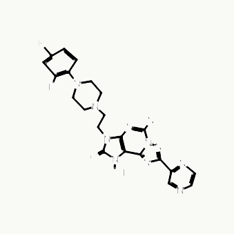 Cn1c(=O)n(CCN2CCN(c3ccc(F)cc3F)CC2)c2nc(N)n3nc(-c4cnccn4)nc3c21